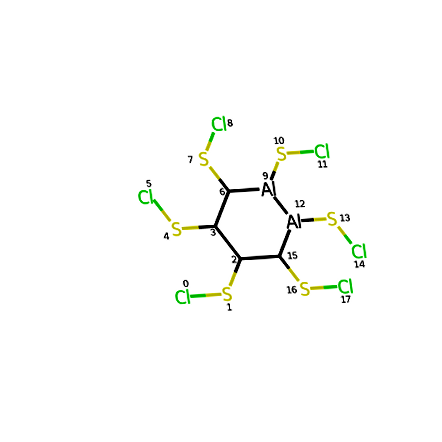 ClSC1C(SCl)[CH](SCl)[Al]([S]Cl)[Al]([S]Cl)[CH]1SCl